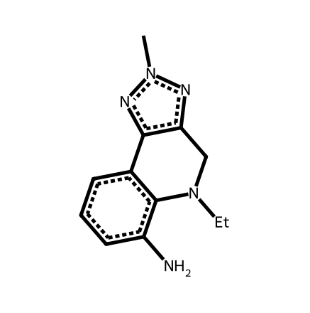 CCN1Cc2nn(C)nc2-c2cccc(N)c21